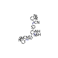 N#C/C(=C\c1ccc(C2=CC=C(c3ccc(/C=C(\C#N)c4cccc5nsnc45)s3)/C(=N/S)C2=N)s1)c1cccc2nsnc12